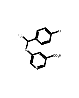 O=C(O)c1cncc(OC(c2ccc(Cl)cc2)C(F)(F)F)c1